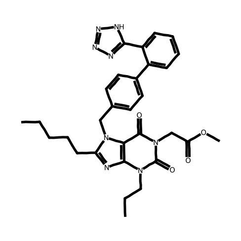 CCCCCc1nc2c(c(=O)n(CC(=O)OC)c(=O)n2CCC)n1Cc1ccc(-c2ccccc2-c2nnn[nH]2)cc1